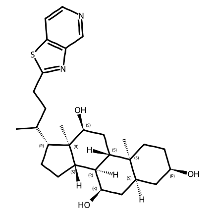 CC(CCc1nc2cnccc2s1)[C@H]1CC[C@H]2[C@@H]3[C@H](O)C[C@@H]4C[C@H](O)CC[C@]4(C)[C@H]3C[C@H](O)[C@]12C